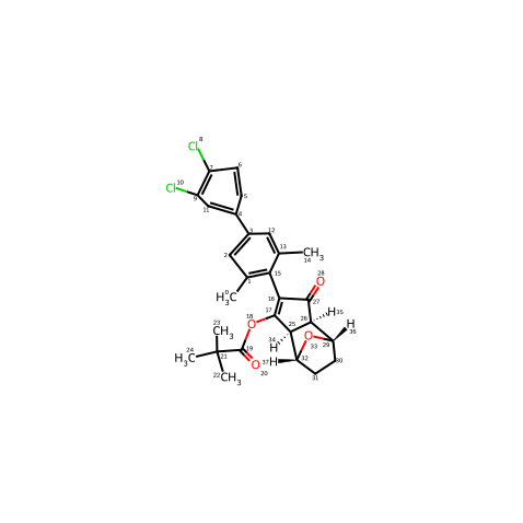 Cc1cc(-c2ccc(Cl)c(Cl)c2)cc(C)c1C1=C(OC(=O)C(C)(C)C)[C@H]2[C@@H](C1=O)[C@@H]1CC[C@H]2O1